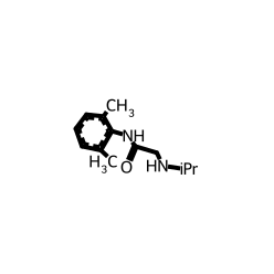 Cc1cccc(C)c1NC(=O)CNC(C)C